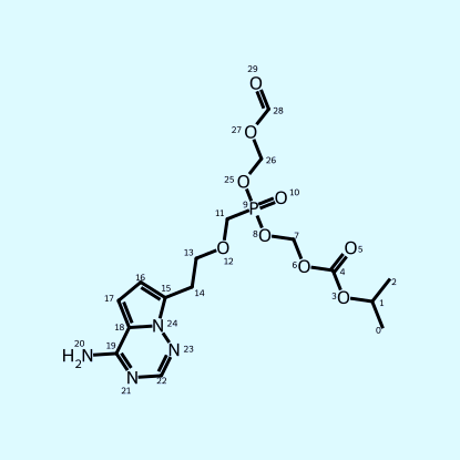 CC(C)OC(=O)OCOP(=O)(COCCc1ccc2c(N)ncnn12)OCOC=O